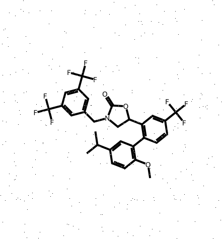 COc1ccc(C(C)C)cc1-c1ccc(C(F)(F)F)cc1C1CN(Cc2cc(C(F)(F)F)cc(C(F)(F)F)c2)C(=O)O1